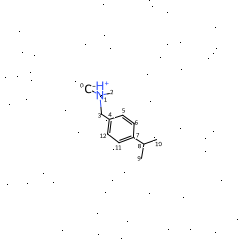 [CH2-][NH+](C)Cc1ccc(C(C)C)cc1